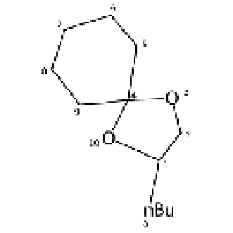 CCCCC1COC2(CCCCC2)O1